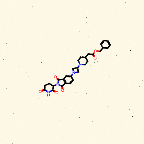 O=C1CCC(N2C(=O)c3ccc(N4CC(N5CCC(CC(=O)OCc6ccccc6)CC5)C4)cc3C2=O)C(=O)N1